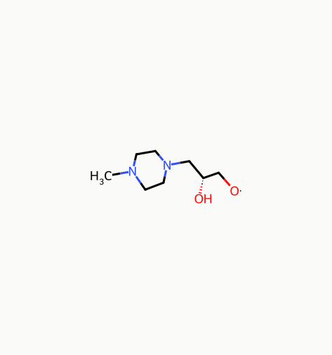 CN1CCN(C[C@@H](O)C[O])CC1